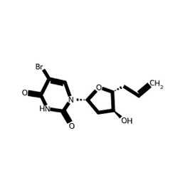 C=CC[C@H]1O[C@@H](n2cc(Br)c(=O)[nH]c2=O)C[C@@H]1O